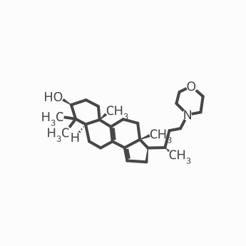 C[C@@H](CCN1CCOCC1)[C@H]1CC=C2C3=C(CC[C@@]21C)[C@@]1(C)CC[C@H](O)C(C)(C)[C@@H]1CC3